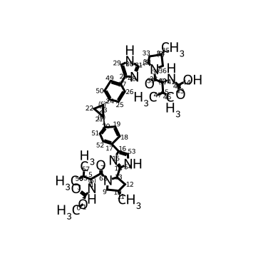 COC(=O)N[C@H](C(=O)N1CC(C)CC1c1nc(-c2ccc([C@H]3C[C@@H]3c3ccc(-c4c[nH]c([C@@H]5C[C@H](C)CN5C(=O)[C@@H](NC(=O)O)C(C)C)n4)cc3)cc2)c[nH]1)C(C)C